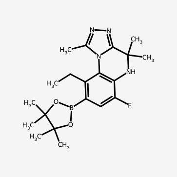 CCc1c(B2OC(C)(C)C(C)(C)O2)cc(F)c2c1-n1c(C)nnc1C(C)(C)N2